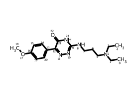 CCN(CC)CCCNc1nnc(-c2ccc(OC)cc2)c(=O)[nH]1